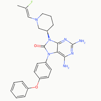 CC(F)=CN1CCC[C@@H](n2c(=O)n(-c3ccc(Oc4ccccc4)cc3)c3c(N)nc(N)nc32)C1